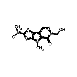 Cn1c2nc([S+](C)[O-])sc2c2cnn(CO)c(=O)c21